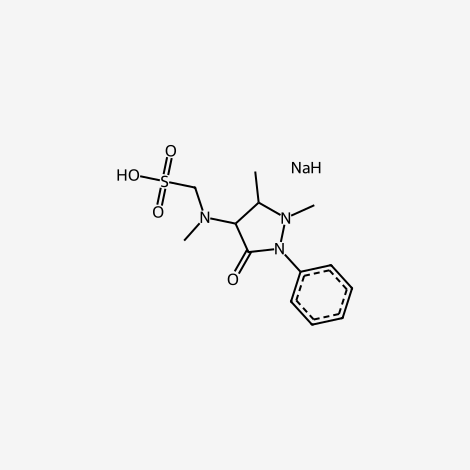 CC1C(N(C)CS(=O)(=O)O)C(=O)N(c2ccccc2)N1C.[NaH]